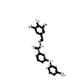 O=C(N/N=C/c1cc(Br)c(O)c(Br)c1)c1cccc(Oc2cccc(C(F)(F)F)c2)c1